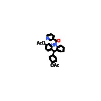 CC(=O)Oc1ccc(C(c2ccc(OC(C)=O)cc2)c2ccccc2NC(=O)c2cccnc2)cc1